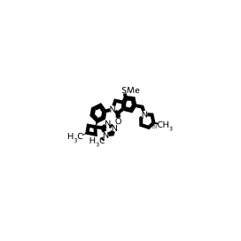 CSc1cc(CN2CCC[C@H](C)C2)cc2c1CN(c1cccc([C@]3(c4nncn4C)C[C@@H](C)C3)c1)C2=O